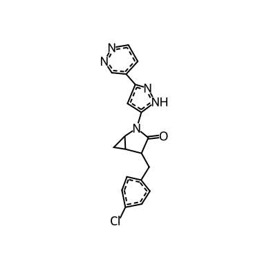 O=C1C(Cc2ccc(Cl)cc2)C2CC2N1c1cc(-c2ccnnc2)n[nH]1